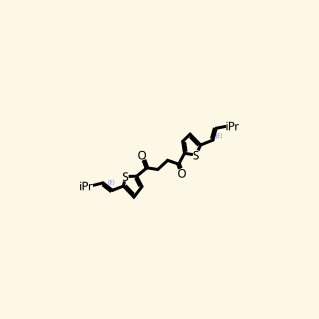 CC(C)/C=C/c1ccc(C(=O)CCC(=O)c2ccc(/C=C/C(C)C)s2)s1